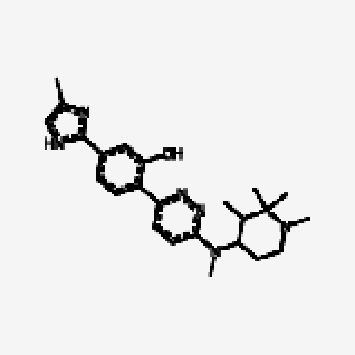 Cc1c[nH]c(-c2ccc(-c3ccc(N(C)C4CCN(C)C(C)(C)C4C)nn3)c(O)c2)n1